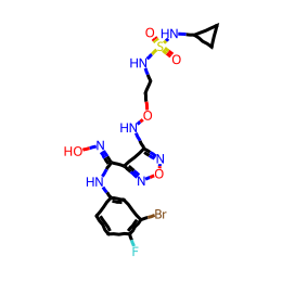 O=S(=O)(NCCONc1nonc1/C(=N/O)Nc1ccc(F)c(Br)c1)NC1CC1